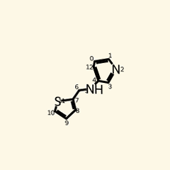 c1cncc(NCc2cccs2)c1